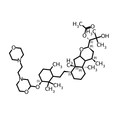 CC(=O)O[C@@H]([C@H]1C[C@@H](C)C2C(C[C@@]3(C)[C@H](CCC4C(C)CC[C@H](OC5CN(CCN6CCOCC6)CCO5)C4(C)C)CCC[C@]23C)O1)C(C)(C)O